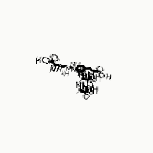 C[C@H](N)C(=O)O.C[C@H](N)C(=O)O.N=C(N)NCCC[C@H](N)C(=O)O.N[C@@H](Cc1ccccc1)C(=O)O